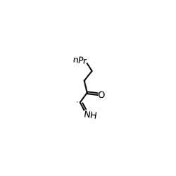 CCCCCC(=O)[C]=N